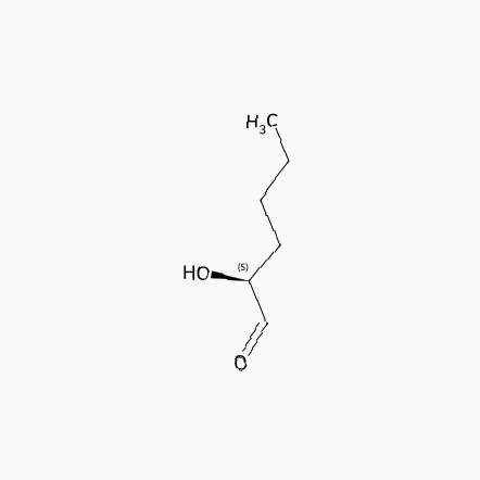 CCCC[C@H](O)C=O